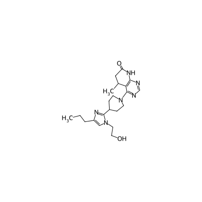 CCCc1cn(CCO)c(C2CCN(c3ncnc4c3C(C)CC(=O)N4)CC2)n1